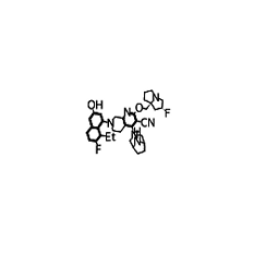 CCc1c(F)ccc2cc(O)cc(N3CCc4c(nc(OC[C@@]56CCCN5C[C@H](F)C6)c(C#N)c4N4CC5CCC(C4)N5)C3)c12